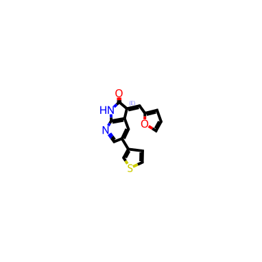 O=C1Nc2ncc(-c3ccsc3)cc2/C1=C\c1ccco1